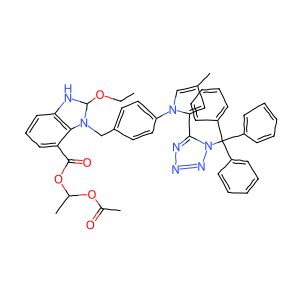 CCOC1Nc2cccc(C(=O)OC(C)OC(C)=O)c2N1Cc1ccc(-n2cc(C)cc2-c2nnnn2C(c2ccccc2)(c2ccccc2)c2ccccc2)cc1